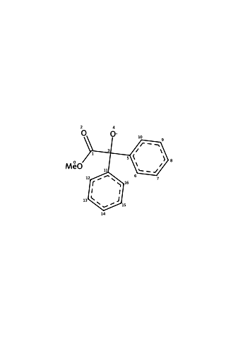 COC(=O)C([O])(c1ccccc1)c1ccccc1